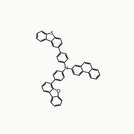 c1ccc2c(c1)ccc1cc(N(c3ccc(-c4ccc5sc6ccccc6c5c4)cc3)c3ccc(-c4cccc5c4oc4ccccc45)cc3)ccc12